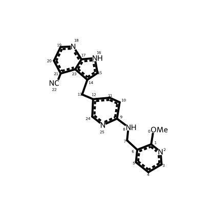 COc1ncccc1CNc1ccc(Cc2c[nH]c3nccc(C#N)c23)cn1